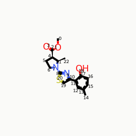 COC(=O)[C@@H]1CCN(c2nc(-c3cc(C)ccc3O)cs2)[C@@H]1C